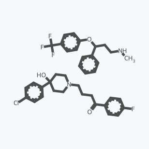 CNCCC(Oc1ccc(C(F)(F)F)cc1)c1ccccc1.O=C(CCCN1CCC(O)(c2ccc(Cl)cc2)CC1)c1ccc(F)cc1